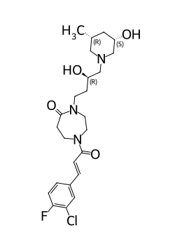 C[C@@H]1C[C@H](O)CN(C[C@H](O)CCN2CCN(C(=O)C=Cc3ccc(F)c(Cl)c3)CCC2=O)C1